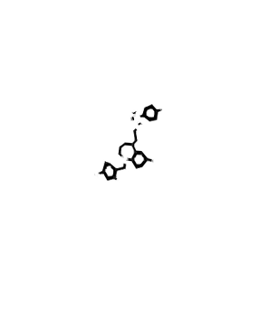 Cc1ccc(S(=O)(=O)OCCC2CCCN(C(=O)c3ccc([N+](=O)[O-])cc3C)c3ccc(Cl)cc32)cc1